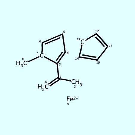 C=C(C)c1ccc[c-]1C.[Fe+2].c1cc[cH-]c1